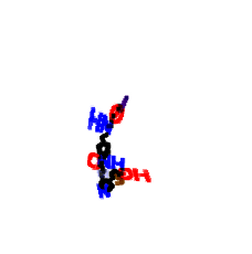 O=C(/C=C/c1cnccc1-c1ccc(O)s1)Nc1ccc(CCNCCOCI)cc1